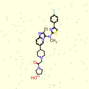 CCc1nc2ccc(C3CCN(CC(=O)N4CC[C@H](O)C4)CC3)cn2c1N(C)c1nc(-c2ccc(F)cc2)cs1